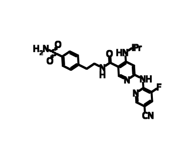 CC(C)Nc1cc(Nc2ncc(C#N)cc2F)ncc1C(=O)NCCc1ccc(S(N)(=O)=O)cc1